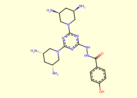 N[C@@H]1C[C@H](N)CN(c2nc(NNC(=O)c3ccc(O)cc3)nc(N3C[C@H](N)C[C@H](N)C3)n2)C1